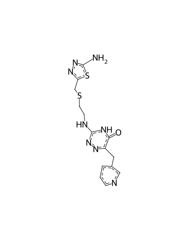 Nc1nnc(CSCCNc2nnc(Cc3cccnc3)c(=O)[nH]2)s1